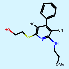 COCCNc1nc(SCCO)c(C#N)c(-c2ccccc2)c1C#N